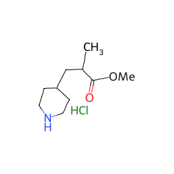 COC(=O)C(C)CC1CCNCC1.Cl